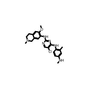 CNc1ccc(Nc2nc(Nc3cc4c(cc3OC)CCN(C)C4)ncc2Cl)c(C)c1